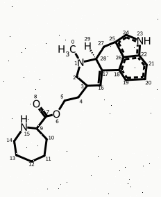 CN1CC(CCOC(=O)C2CCCCCN2)C=C2c3cccc4[nH]cc(c34)C[C@@H]21